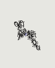 CCCc1c(/C=C(\CC)NC(=O)c2cc(CNC(=O)C(C)C)cnc2C(F)F)cc(-c2ccc(Cl)cc2)n1CC